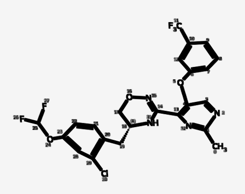 Cc1ncc(Oc2cccc(C(F)(F)F)c2)c(C2=NOC[C@@H](Cc3ccc(OC(F)F)cc3Cl)N2)n1